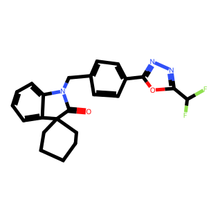 O=C1N(Cc2ccc(-c3nnc(C(F)F)o3)cc2)c2ccccc2C12CCCCC2